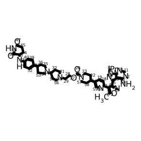 Cc1onc(-c2nn(C(C)C)c3ncnc(N)c23)c1-c1ccc(C2CCN(C(=O)OCCN3CCC(N4CCC(c5ccc(NC6CCC(=O)NC6=O)cc5)CC4)CC3)CC2)cn1